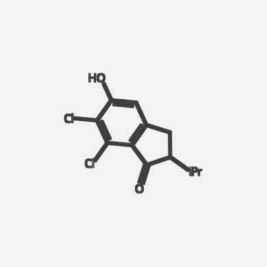 CC(C)C1Cc2cc(O)c(Cl)c(Cl)c2C1=O